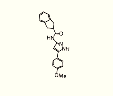 COc1ccc(-c2cc(NC(=O)C3Cc4ccccc4C3)n[nH]2)cc1